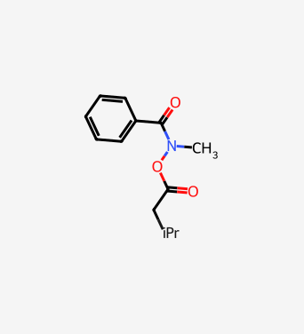 CC(C)CC(=O)ON(C)C(=O)c1ccccc1